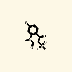 CN(C=O)c1cc(F)ccc1C(=O)CS(C)(=O)=O